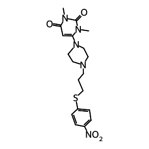 Cn1c(N2CCN(CCCSc3ccc([N+](=O)[O-])cc3)CC2)cc(=O)n(C)c1=O